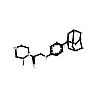 C[C@H]1CNCCN1C(=O)COc1ccc(C23CC4CC(CC(C4)C2)C3)cc1